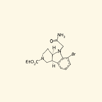 CCOC(=O)N1CC[C@@H]2[C@H](C1)c1cccc(Br)c1N2CC(N)=O